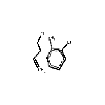 C=CCCCl.CCc1ccccc1[SiH3]